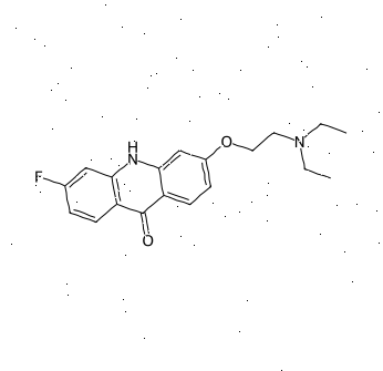 CCN(CC)CCOc1ccc2c(=O)c3ccc(F)cc3[nH]c2c1